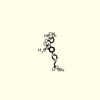 CPN1C(=O)CCC(n2c(=O)n(C)c3cc(N4CCN(CCC(=O)OC(C)(C)C)CC4)ccc32)C1=O